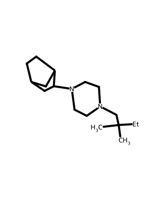 CCC(C)(C)CN1CCN(C2CC3CCC2C3)CC1